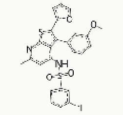 COc1cccc(-c2c(-c3ccco3)sc3nc(C)cc(NS(=O)(=O)c4cccc(I)c4)c23)c1